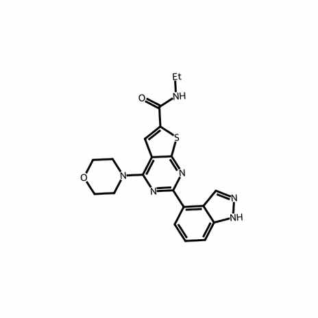 CCNC(=O)c1cc2c(N3CCOCC3)nc(-c3cccc4[nH]ncc34)nc2s1